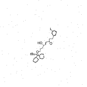 CC(C)(C)[Si](OCCCC(O)C=CC(=O)CCc1cccc(I)c1)(c1ccccc1)c1ccccc1